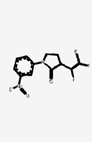 O=C1C(C(F)C(F)F)CCN1c1cccc([N+](=O)[O-])c1